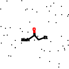 [CH2]NC(=O)CCC